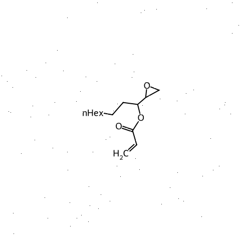 C=CC(=O)OC(CCCCCCCC)C1CO1